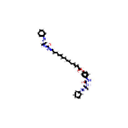 CC(C)(N=NC1CCCCC1)NC(=O)NCCCCCCCCCCCCCC(=O)Oc1ccc(NC(=O)NC(C)(C)N=NC2CCCCC2)cc1